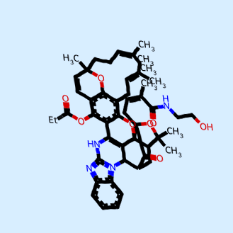 CCC(=O)Oc1c2c(c(CC=C(C)C)c3c1C1=C4C(C5CC6C(C)(C)OC(C/C=C(/C)C(=O)NCCO)(C5=O)C46O3)n3c(nc4ccccc43)N1)OC(C)(CCC=C(C)C)C=C2